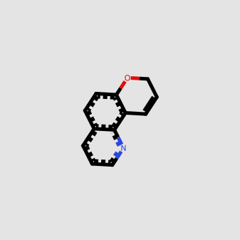 C1=Cc2c(ccc3cccnc23)OC1